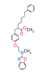 COC(=O)C(CCCCCc1ccccc1)Cc1ccc(OCCN(C)c2nc3ccccc3o2)cc1